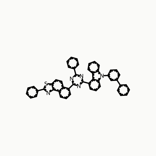 c1ccc(-c2cccc(-n3c4ccccc4c4c(-c5nc(-c6ccccc6)nc(-c6cccc7c6ccc6sc(-c8ccccc8)nc67)n5)cccc43)c2)cc1